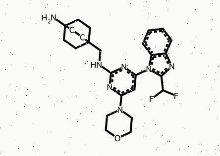 NC12CCC(CNc3nc(N4CCOCC4)cc(-n4c(C(F)F)nc5ccccc54)n3)(CC1)CC2